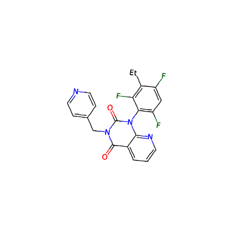 CCc1c(F)cc(F)c(-n2c(=O)n(Cc3ccncc3)c(=O)c3cccnc32)c1F